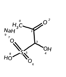 CC(=O)C(O)S(=O)(=O)O.[NaH]